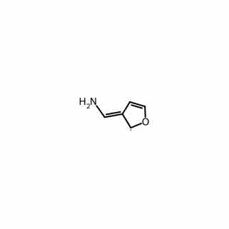 NC=C1[CH]OC=C1